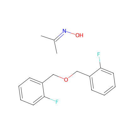 CC(C)=NO.Fc1ccccc1COCc1ccccc1F